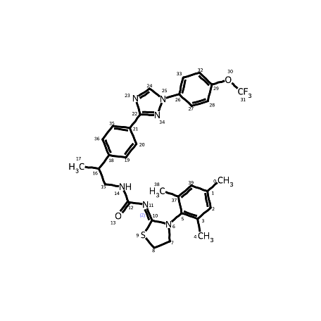 Cc1cc(C)c(N2CCS/C2=N\C(=O)NCC(C)c2ccc(-c3ncn(-c4ccc(OC(F)(F)F)cc4)n3)cc2)c(C)c1